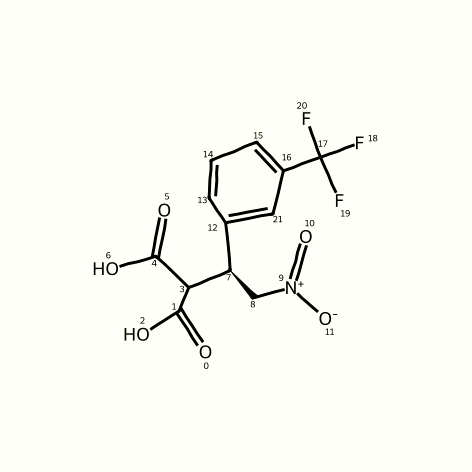 O=C(O)C(C(=O)O)[C@H](C[N+](=O)[O-])c1cccc(C(F)(F)F)c1